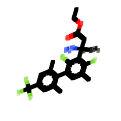 CCOC(=O)C[C@](N)([SiH3])c1c(F)c(C)cc(-c2c(C)cc(C(F)(F)F)cc2C)c1F